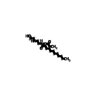 CCC(=O)O.CCCCCCCCCCCC(=O)NCCNCCO